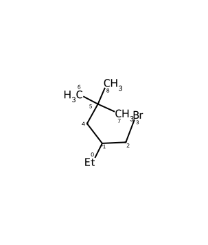 CC[C](CBr)CC(C)(C)C